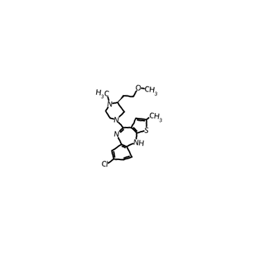 COCC[C@H]1CN(C2=Nc3cc(Cl)ccc3Nc3sc(C)cc32)CCN1C